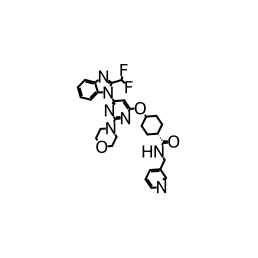 O=C(NCc1cccnc1)[C@H]1CC[C@H](Oc2cc(-n3c(C(F)F)nc4ccccc43)nc(N3CCOCC3)n2)CC1